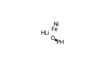 O=P.[Fe].[LiH].[Ni]